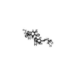 CCCS(=O)(=O)Nc1ccc(F)c(C(=O)c2c[nH]c3ncc(C#CCN(CC)CC)cc23)c1F